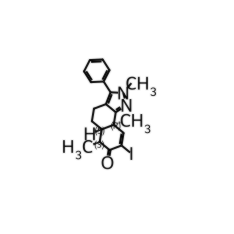 C[C@@H]1C(=O)C(I)=C[C@]2(C)c3nn(C)c(-c4ccccc4)c3CC[C@@H]12